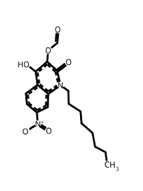 CCCCCCCCn1c(=O)c(OC=O)c(O)c2ccc([N+](=O)[O-])cc21